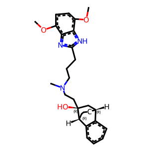 COc1ccc(OC)c2[nH]c(CCCN(C)CC[C@]3(O)C[C@H]4CCC[C@@H]3c3ccccc34)nc12